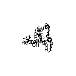 CCCCOc1ccc(OCCCN2CCOCC2)cc1.C[C@H]1[C@H](NC(=O)/C(=N\OC(C)(C)C(=O)O)c2csc(N)n2)C(=O)N1S(=O)(=O)O.O=C(O)C(Cl)(Cl)Cl